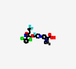 Cn1cc(C(=O)O)c2ccc(N3CCC(F)(COCc4c(-c5c(Cl)cccc5Cl)noc4CC4CC4(F)F)CC3)cc21